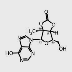 C[C@@]12OC(=O)O[C@@H]1[C@@H](CO)O[C@H]2n1cnc2c(O)ncnc21